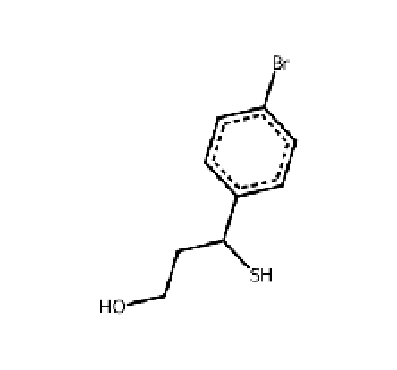 OCCC(S)c1ccc(Br)cc1